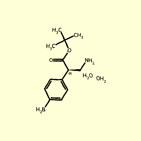 Bc1ccc([C@H](CN)C(=O)OC(C)(C)C)cc1.O.O